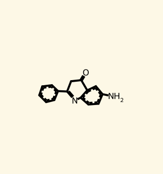 Nc1ccc2c(c1)C(=O)CC(c1ccccc1)=N2